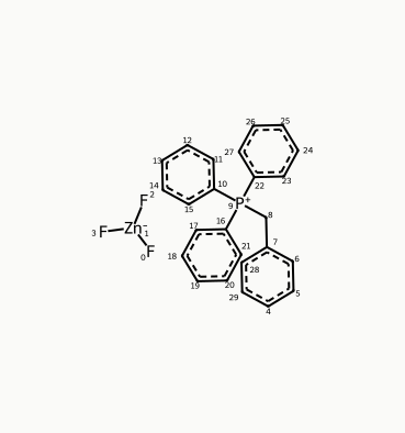 [F][Zn-]([F])[F].c1ccc(C[P+](c2ccccc2)(c2ccccc2)c2ccccc2)cc1